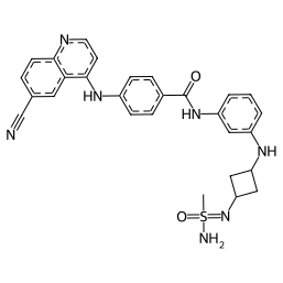 CS(N)(=O)=NC1CC(Nc2cccc(NC(=O)c3ccc(Nc4ccnc5ccc(C#N)cc45)cc3)c2)C1